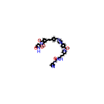 O=C(/C=C/c1cccnc1)NCCCCC1CCN(C(=O)c2ccc(N3CCN(Cc4ccc(C#Cc5ccc6c(c5)C(=O)N(C5CCC(=O)NC5=O)C6=O)cc4)CC3)cc2)CC1